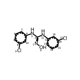 ON=C(Nc1cccc(Cl)c1)Nc1cccc(Cl)c1